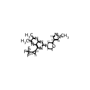 Cc1nc2nc(N3CCOC(c4cnn(C)c4)C3)nc(C3CC3C(F)(F)F)c2nc1C